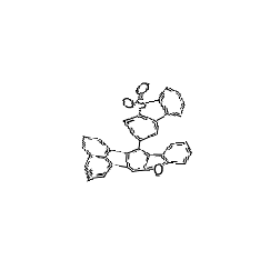 O=S1(=O)c2ccccc2-c2cc(-c3c4c(cc5oc6ccccc6c35)-c3cccc5cccc-4c35)ccc21